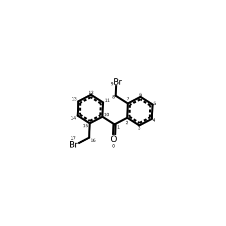 O=C(c1ccccc1CBr)c1ccccc1CBr